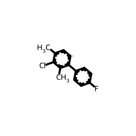 Cc1c[c]c(-c2ccc(F)cc2)c(C)c1Cl